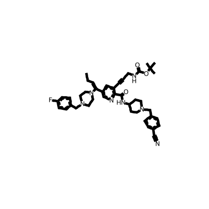 CC/C=C(/c1cnc(C(=O)NC2CCN(Cc3ccc(C#N)cc3)CC2)c(C#CCNC(=O)OC(C)(C)C)c1)N1CCN(Cc2ccc(F)cc2)CC1